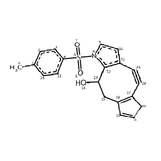 Cc1ccc(S(=O)(=O)n2ccc3c2C(O)CC2=C(C#C3)CC=C2)cc1